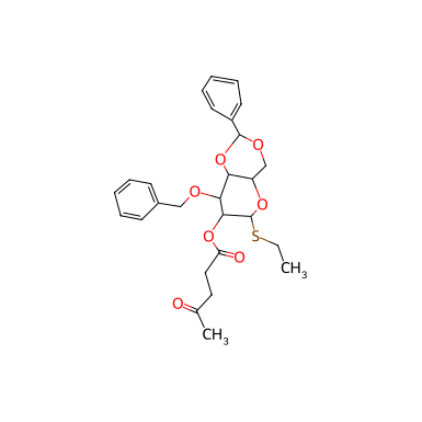 CCSC1OC2COC(c3ccccc3)OC2C(OCc2ccccc2)C1OC(=O)CCC(C)=O